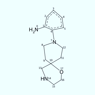 Nc1ccccc1N1CCC2(CC1)CNCCO2